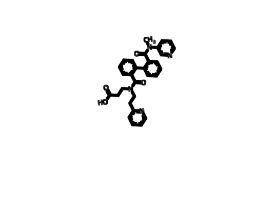 CN(C(=O)c1ccccc1-c1ccccc1C(=O)N(CCC(=O)O)CCc1ccccn1)c1cccnc1